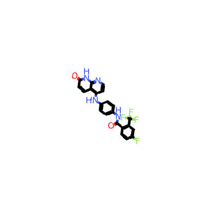 O=C(Nc1ccc(Nc2ccnc3[nH]c(=O)ccc23)cc1)c1ccc(F)cc1C(F)(F)F